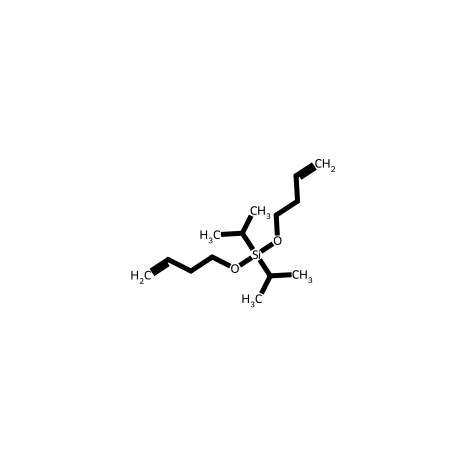 C=CCCO[Si](OCCC=C)(C(C)C)C(C)C